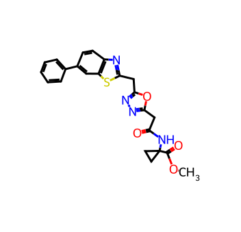 COC(=O)C1(NC(=O)Cc2nnc(Cc3nc4ccc(-c5ccccc5)cc4s3)o2)CC1